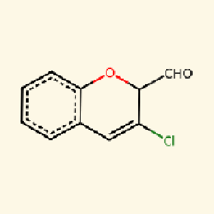 O=CC1Oc2ccccc2C=C1Cl